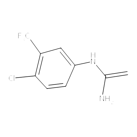 C=C(N)Nc1ccc(Cl)c(C(F)(F)F)c1